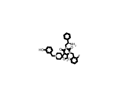 N[C@@H](Cn1c(=O)c2c(n(Cc3c(F)cccc3C(F)(F)F)c1=O)COC21CCN(Cc2cccc(O)c2)CC1)c1ccccc1